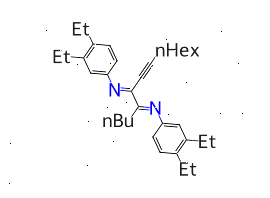 CCCCCCC#CC(=N\c1ccc(CC)c(CC)c1)/C(CCCC)=N/c1ccc(CC)c(CC)c1